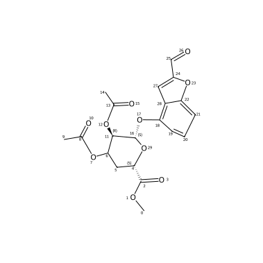 COC(=O)[C@@H]1CC(OC(C)=O)[C@@H](OC(C)=O)[C@H](Oc2cccc3oc(C=O)cc23)O1